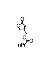 CCCC(=O)OCC1=CC(=O)OC1